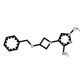 Cn1cc(N2CC(OCc3ccccc3)C2)c([N+](=O)[O-])n1